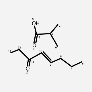 CC(C)C(=O)O.CCCC=CC(=O)CC